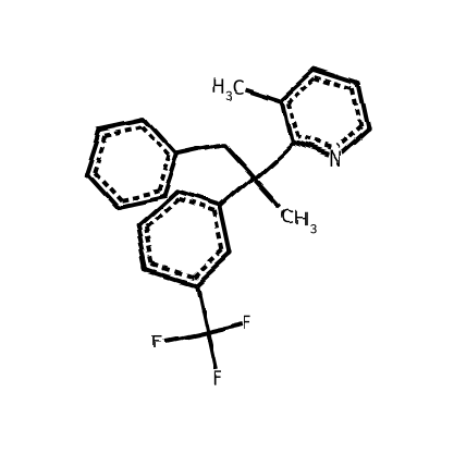 Cc1cccnc1C(C)(Cc1ccccc1)c1cccc(C(F)(F)F)c1